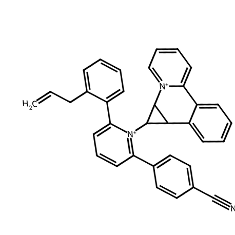 C=CCc1ccccc1-c1cccc(-c2ccc(C#N)cc2)[n+]1C1C2c3ccccc3-c3cccc[n+]3C21